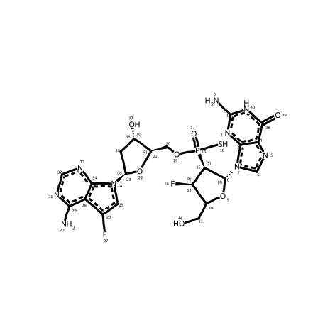 Nc1nc2c(ncn2[C@@H]2OC(CO)[C@@H](F)[C@H]2P(=O)(S)OC[C@H]2O[C@@H](n3cc(F)c4c(N)ncnc43)C[C@@H]2O)c(=O)[nH]1